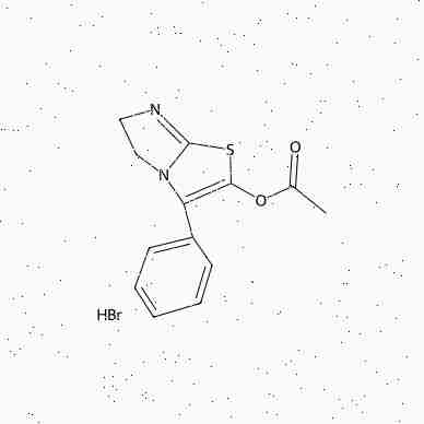 Br.CC(=O)OC1=C(c2ccccc2)N2CCN=C2S1